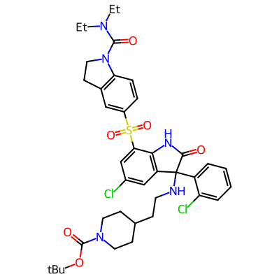 CCN(CC)C(=O)N1CCc2cc(S(=O)(=O)c3cc(Cl)cc4c3NC(=O)C4(NCCC3CCN(C(=O)OC(C)(C)C)CC3)c3ccccc3Cl)ccc21